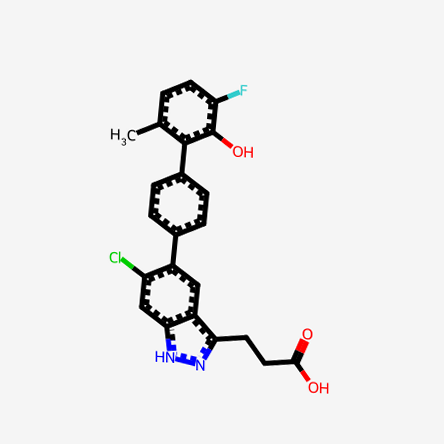 Cc1ccc(F)c(O)c1-c1ccc(-c2cc3c(CCC(=O)O)n[nH]c3cc2Cl)cc1